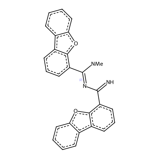 CN/C(=N\C(=N)c1cccc2c1oc1ccccc12)c1cccc2c1oc1ccccc12